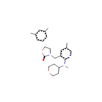 CCOC(=O)N(c1ncc(C)cc1CN1C(=O)O[C@H](c2cc(C)cc(C(F)(F)F)c2)[C@@H]1C)C1CCOCC1